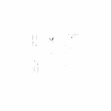 CC(C)Cc1ccc2[nH]c(=O)[nH]c(=O)c2c1S(=O)(=O)O